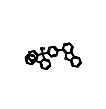 OC(c1ccccc1)(c1ccc(-c2cccc3c2oc2ccccc23)cc1)c1ccccc1-c1ccccc1